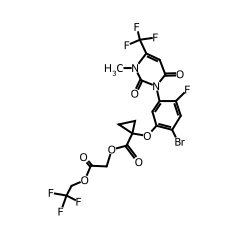 Cn1c(C(F)(F)F)cc(=O)n(-c2cc(OC3(C(=O)OCC(=O)OCC(F)(F)F)CC3)c(Br)cc2F)c1=O